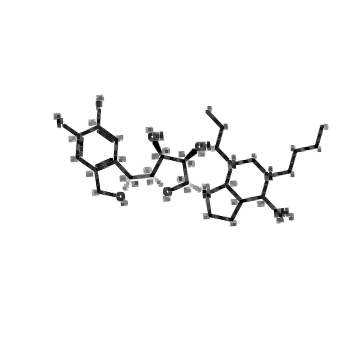 CCCCN1CN(CCC)C2C(CCN2[C@@H]2O[C@H]([C@@H]3OCc4cc(F)c(F)cc43)[C@@H](O)[C@H]2O)C1N